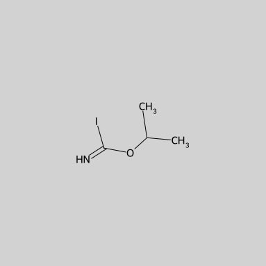 CC(C)OC(=N)I